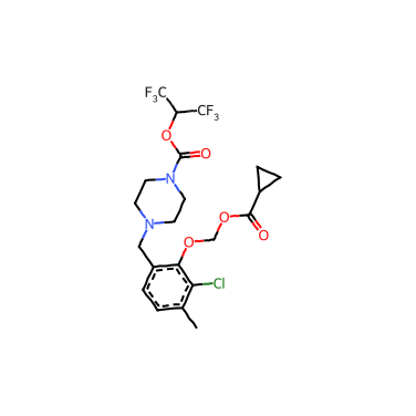 Cc1ccc(CN2CCN(C(=O)OC(C(F)(F)F)C(F)(F)F)CC2)c(OCOC(=O)C2CC2)c1Cl